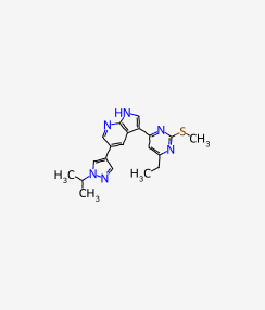 CCc1cc(-c2c[nH]c3ncc(-c4cnn(C(C)C)c4)cc23)nc(SC)n1